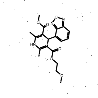 COCCOC(=O)C1=C(C)NC(C)=C(C(=O)OC)C1c1cccc2nonc12